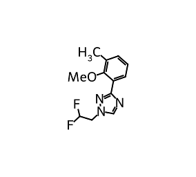 COc1c(C)cccc1-c1ncn(CC(F)F)n1